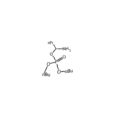 CCCCOP(=O)(OCCCC)OC(N)CCC